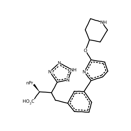 CCC[C@H](C(=O)O)C(Cc1cccc(-c2cccc(OC3CCNCC3)n2)c1)c1nn[nH]n1